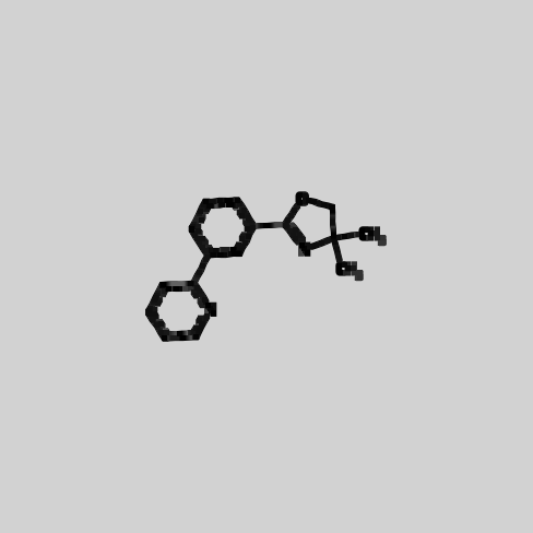 CC1(C)COC(c2cccc(-c3ccccn3)c2)=N1